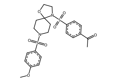 COc1ccc(S(=O)(=O)N2CCC3(CC2)OCCN3S(=O)(=O)c2ccc(C(C)=O)cc2)cc1